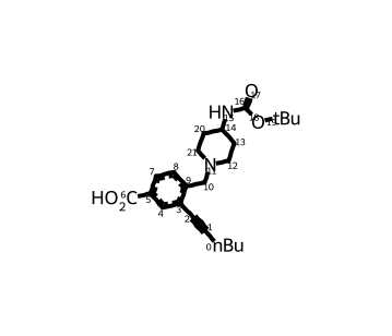 CCCCC#Cc1cc(C(=O)O)ccc1CN1CCC(NC(=O)OC(C)(C)C)CC1